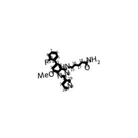 COc1cc(-c2ccccc2F)cc2c(NCCCCC(N)=O)nc(-c3cccnc3)nc12